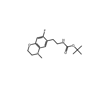 CN1CCOc2cc(F)c(CCNC(=O)OC(C)(C)C)cc21